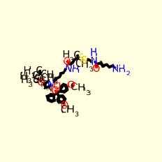 COc1ccc(C(OC[C@@H]2C[C@@H](O[Si](C)(C)C(C)(C)C)CN2C(=O)CCCCCNC(=O)CCC(C)(C)SSCCNC(=O)CCCCCN)(c2ccccc2)c2ccc(OC)cc2)cc1